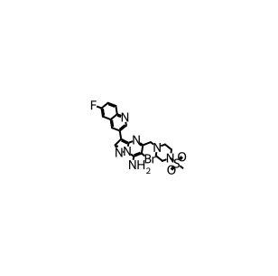 CS(=O)(=O)N1CCN(Cc2nc3c(-c4cnc5ccc(F)cc5c4)cnn3c(N)c2Br)CC1